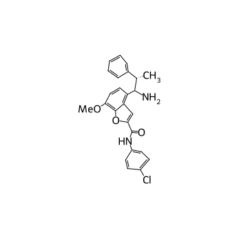 COc1ccc(C(N)[C@@H](C)c2ccccc2)c2cc(C(=O)Nc3ccc(Cl)cc3)oc12